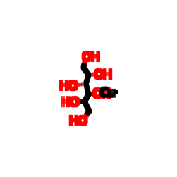 OC[C@@H](O)[C@@H](O)[C@H](O)[C@@H](O)CO.[Cu]